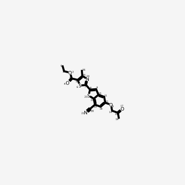 CCOC(=O)c1sc(-c2cc3cc(OCC(C)=O)cc(C#N)c3s2)nc1C